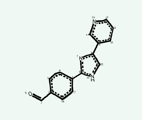 O=Cc1ccc(-c2nc(-c3cccnc3)c[nH]2)cc1